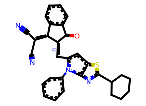 N#CC(C#N)=C1/C(=C/c2cc3sc(C4CCCCC4)nc3n2-c2ccccc2)C(=O)c2ccccc21